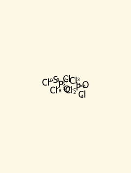 O=P(Cl)(Cl)Cl.O=P(Cl)(Cl)SCl